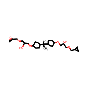 CC(C)(C1CCC(OCC(O)COCC2CC2)CC1)C1CCC(OCC(O)COCC2CO2)CC1